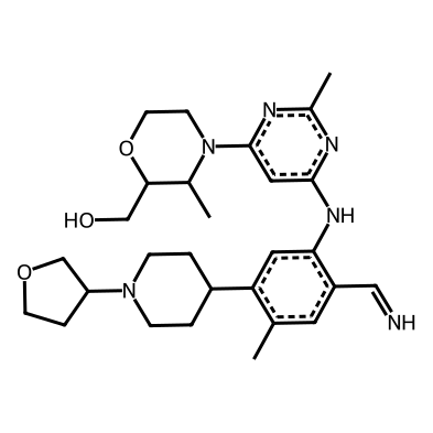 Cc1nc(Nc2cc(C3CCN(C4CCOC4)CC3)c(C)cc2C=N)cc(N2CCOC(CO)C2C)n1